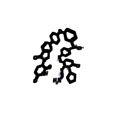 N/C=N/c1c(/C=N\C2CCN([S+]([O-])c3cccc(OC4CCN(c5ccc6c(c5)CN(C5CCC(=O)NC5=O)C6=O)CC4)c3)CC2)ccc(=O)n1C1CCCC1